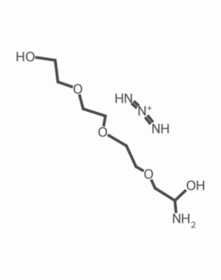 N=[N+]=N.NC(O)COCCOCCOCCO